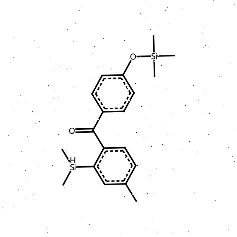 Cc1ccc(C(=O)c2ccc(O[Si](C)(C)C)cc2)c([SiH](C)C)c1